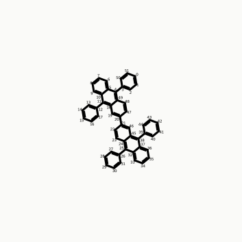 c1ccc(-c2c3ccccc3c(-c3ccccc3)c3cc(-c4ccc5c(-c6ccccc6)c6ccccc6c(-c6ccccc6)c5c4)ccc23)cc1